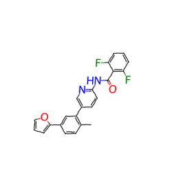 Cc1ccc(-c2ccco2)cc1-c1ccc(NC(=O)c2c(F)cccc2F)nc1